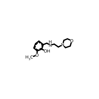 COc1cccc(CNCCN2CCOCC2)c1O